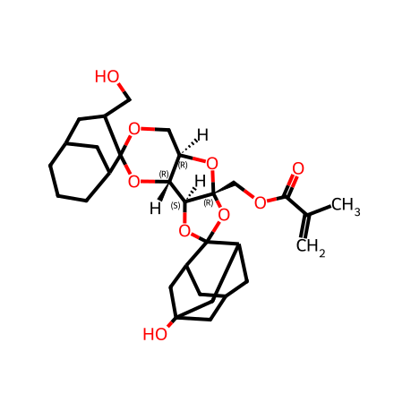 C=C(C)C(=O)OC[C@]12O[C@@H]3COC4(O[C@H]3[C@@H]1OC1(O2)C2CC3CC1CC(O)(C3)C2)C(CO)CC1CCCC4C1